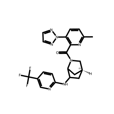 Cc1ccc(-n2nccn2)c(C(=O)N2C[C@H]3CC(Nc4ccc(C(F)(F)F)cn4)C2C3)n1